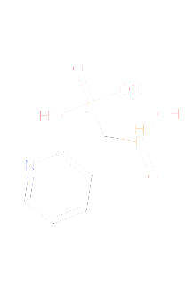 O=[PH](O)CP(=O)(O)O.c1ccncc1